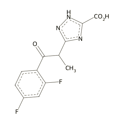 CC(C(=O)c1ccc(F)cc1F)c1n[nH]c(C(=O)O)n1